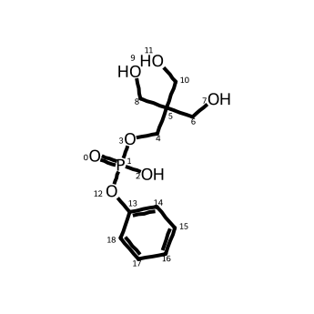 O=P(O)(OCC(CO)(CO)CO)Oc1ccccc1